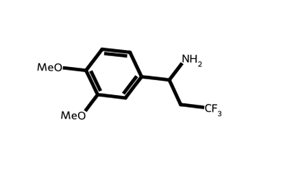 COc1ccc(C(N)CC(F)(F)F)cc1OC